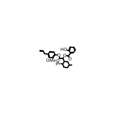 C=CCc1ccc(OC(=O)C(OC(=O)c2ccccc2O)C2CC(C)CCC2C(C)C)c(OC)c1